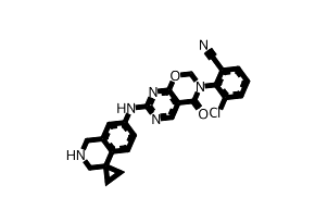 N#Cc1cccc(Cl)c1N1COc2nc(Nc3ccc4c(c3)CNCC43CC3)ncc2C1=O